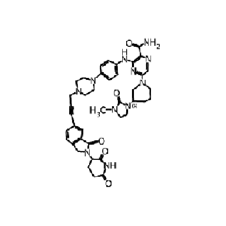 CN1CCN([C@H]2CCCN(c3cnc(C(N)=O)c(Nc4ccc(N5CCN(CC#Cc6ccc7c(c6)C(=O)N(C6CCC(=O)NC6=O)C7)CC5)cc4)n3)C2)C1=O